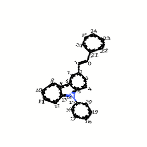 C(=C\c1ccc2c(c1)c1ccccc1n2-c1ccccc1)/c1ccccc1